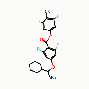 CCCCC(Oc1cc(F)c(C(=O)Oc2cc(F)c(C#N)c(F)c2)c(F)c1)C1CCCCC1